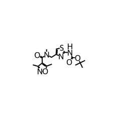 Cc1noc(C)c1C(=O)N(C)Cc1csc(NC(=O)OC(C)(C)C)n1